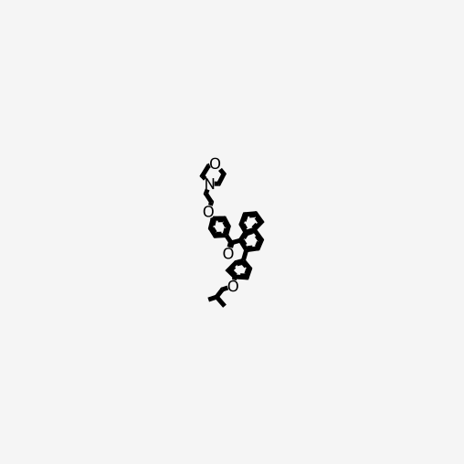 CC(C)COc1ccc(-c2ccc3ccccc3c2C(=O)c2ccc(OCCN3CCOCC3)cc2)cc1